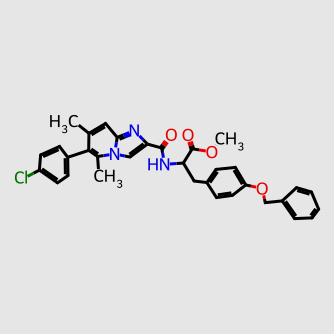 COC(=O)C(Cc1ccc(OCc2ccccc2)cc1)NC(=O)c1cn2c(C)c(-c3ccc(Cl)cc3)c(C)cc2n1